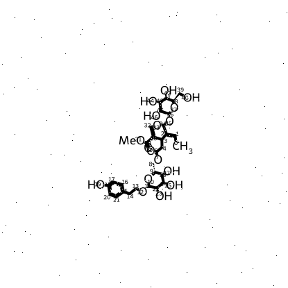 C/C=C1\C(CC(=O)OC[C@H]2O[C@@H](OCCc3ccc(O)cc3)[C@H](O)[C@@H](O)[C@@H]2O)C(C(=O)OC)=CO[C@H]1O[C@@H]1O[C@H](CO)[C@@H](O)[C@H](O)[C@H]1O